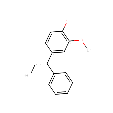 CCOc1cc([C@@H](CC=O)c2ccccc2)ccc1O